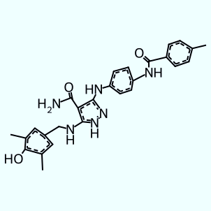 Cc1ccc(C(=O)Nc2ccc(Nc3n[nH]c(NCc4cc(C)c(O)c(C)c4)c3C(N)=O)cc2)cc1